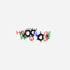 O=C1N(c2ccc3c(c2)OC(F)(F)O3)CCC12CCC(O)(C(F)(F)F)CC2